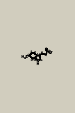 Cc1ccc2c(C=C[N+](=O)[O-])c[nH]c2c1